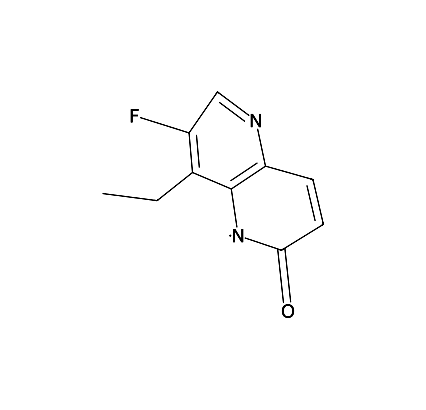 CCc1c(F)cnc2c1[N]C(=O)C=C2